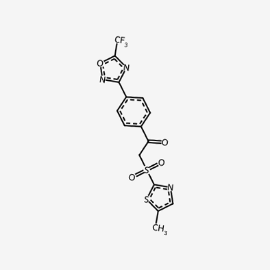 Cc1cnc(S(=O)(=O)CC(=O)c2ccc(-c3noc(C(F)(F)F)n3)cc2)s1